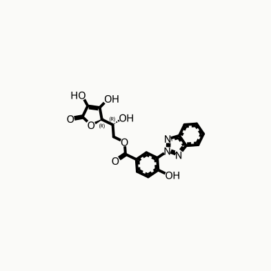 O=C1O[C@H]([C@H](O)COC(=O)c2ccc(O)c(-n3nc4ccccc4n3)c2)C(O)=C1O